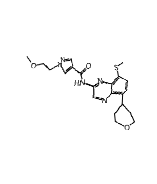 COCCn1cc(C(=O)Nc2cnc3c(C4CCOCC4)ccc(SC)c3n2)cn1